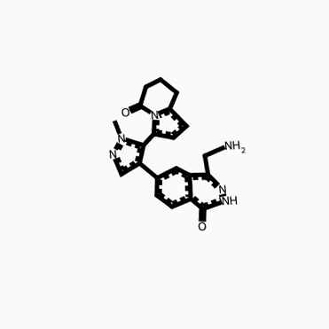 Cn1ncc(-c2ccc3c(=O)[nH]nc(CN)c3c2)c1-c1ccc2n1C(=O)CCC2